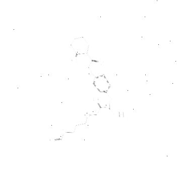 CN(Cc1ccc(CC(=O)C2CCCCC2=O)cc1)C(=O)COCCCOC=O